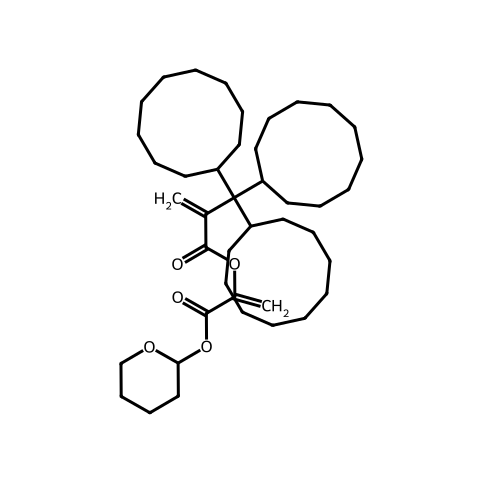 C=C(OC(=O)C(=C)C(C1CCCCCCCCC1)(C1CCCCCCCCC1)C1CCCCCCCCC1)C(=O)OC1CCCCO1